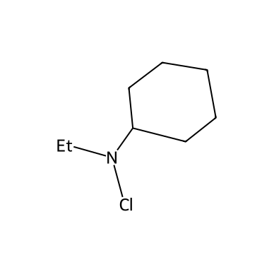 CCN(Cl)C1CCCCC1